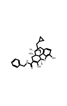 O=C(NCc1ccccc1)C1=C(O)[C@@H]2Oc3c(O)ccc4c3[C@@]23CCN(CC2CC2)[C@H](C4)[C@]3(O)C1